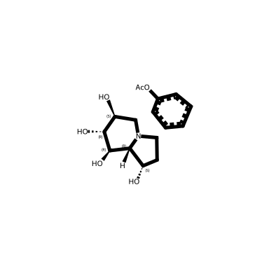 CC(=O)Oc1ccccc1.O[C@H]1[C@H](O)[C@@H](O)CN2CC[C@H](O)[C@H]12